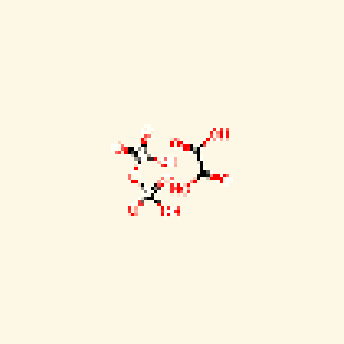 O=C(O)C(=O)O.[O]=[Cr](=[O])([OH])[O][Cr](=[O])(=[O])[OH]